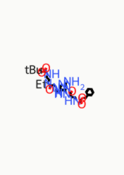 CCN(CCNC(=O)OC(C)(C)C)C(=O)Cn1cnc2c(NC(=O)CCNC(=O)OCc3ccccc3)nc(N)nc21